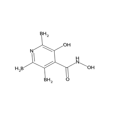 Bc1nc(B)c(O)c(C(=O)NO)c1B